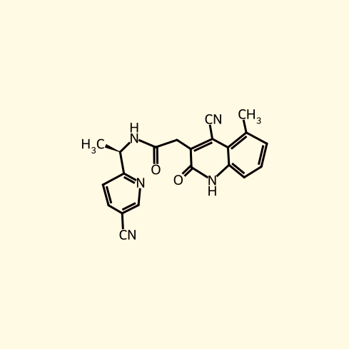 Cc1cccc2[nH]c(=O)c(CC(=O)N[C@H](C)c3ccc(C#N)cn3)c(C#N)c12